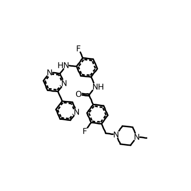 CN1CCN(Cc2ccc(C(=O)Nc3ccc(F)c(Nc4nccc(-c5cccnc5)n4)c3)cc2F)CC1